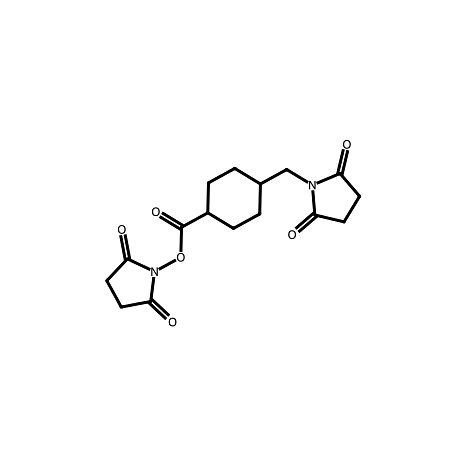 O=C(ON1C(=O)CCC1=O)C1CCC(CN2C(=O)CCC2=O)CC1